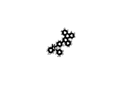 C1=CC2c3ccccc3-c3c(cc(-c4ccc(-c5nc6ccccc6n5-c5ccccc5)cc4)c4ccccc34)C2C=C1